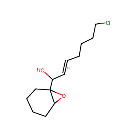 OC(/C=C/CCCCCl)C12CCCCC1O2